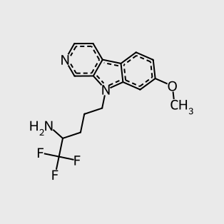 COc1ccc2c3ccncc3n(CCCC(N)C(F)(F)F)c2c1